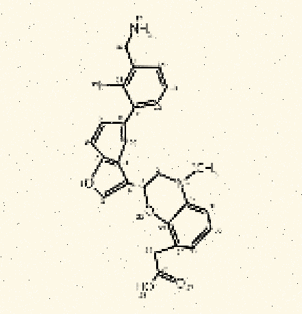 CN1C[C@@H](c2coc3ccc(-c4cccc(CN)c4F)cc23)Oc2c(CC(=O)O)cccc21